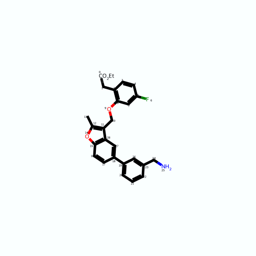 CCOC(=O)Cc1ccc(F)cc1OCc1c(C)oc2ccc(-c3cccc(CN)c3)cc12